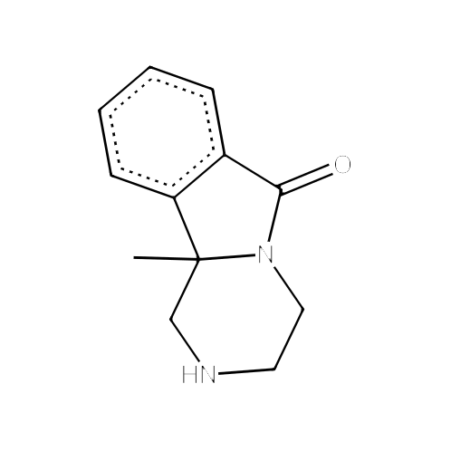 CC12CNCCN1C(=O)c1ccccc12